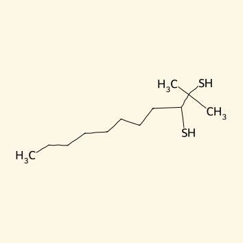 CCCCCCCCC(S)C(C)(C)S